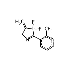 C=C1CN=C(c2cccnc2C(F)(F)F)C1(F)F